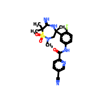 CN1C[C@@](C)(c2cc(NC(=O)c3ccc(C#N)cn3)ccc2F)NC(=N)C(C)(C)S1(=O)=O